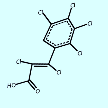 O=C(O)C(Cl)=C(Cl)c1cc(Cl)c(Cl)c(Cl)c1Cl